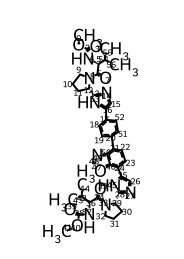 COC(=O)N[C@H](C(=O)N1CCC[C@H]1c1ncc(-c2ccc(-c3ccc(-c4cnc([C@@H]5CCCN5C(=O)[C@@H](NC(=O)OC)C(C)C)[nH]4)c4ocnc34)cc2)[nH]1)C(C)C